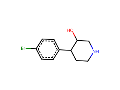 OC1CNCCC1c1ccc(Br)cc1